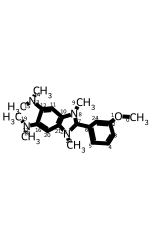 COc1cccc(C2N(C)c3cc(N(C)C)c(N(C)C)cc3N2C)c1